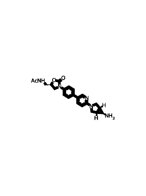 CC(=O)NC[C@H]1CN(c2ccc(-c3ccc(N4C[C@@H]5[C@@H](N)[C@@H]5C4)nc3)cc2)C(=O)O1